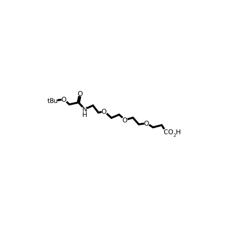 CC(C)(C)OCC(=O)NCCOCCOCCOCCC(=O)O